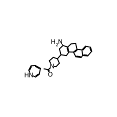 C1=CC=CNC=C1.CC(=O)N1CCC(C2CC3=C(CCc4c3ccc3ccccc43)[C@H](N)C2)CC1